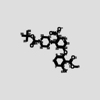 COC(=O)c1c(Br)cccc1Oc1cnc([N+](=O)[O-])c(N2CCN(C(=O)OC(C)(C)C)CC2)c1